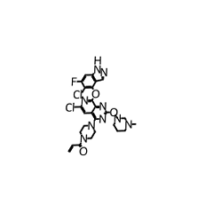 C=CC(=O)N1CCN(c2nc(ON3CCCN(C)C3)nc3c(Oc4c(Cl)c(F)cc5[nH]ncc45)nc(Cl)cc23)CC1